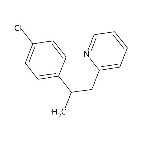 [CH2]C(Cc1ccccn1)c1ccc(Cl)cc1